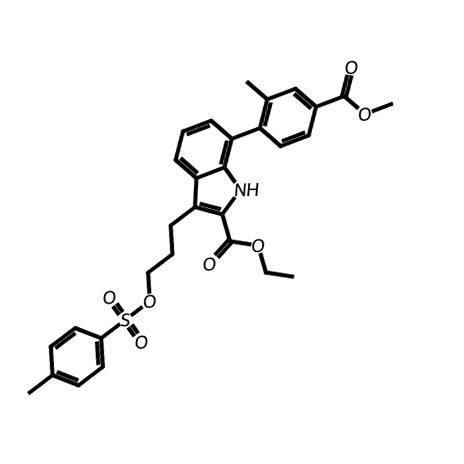 CCOC(=O)c1[nH]c2c(-c3ccc(C(=O)OC)cc3C)cccc2c1CCCOS(=O)(=O)c1ccc(C)cc1